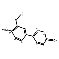 CCOc1cc(-c2ccc(=O)[nH]n2)ccc1OC